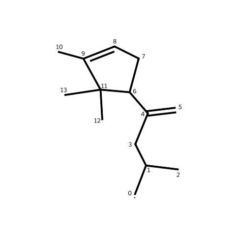 [CH2]C(C)CC(=C)C1CC=C(C)C1(C)C